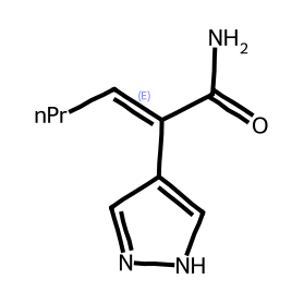 CCC/C=C(/C(N)=O)c1cn[nH]c1